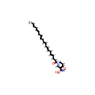 CCC=CCC=CCC=CCC=CCC=CCC=CCCC(=O)N1CCc2onc(O)c2C1